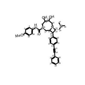 COc1ccc(NC(=O)N2CC(O)C(O)CN3C(C2)C(c2ccc(C#Cc4ccccc4)cc2)[C@H]3CN(C)C)cc1